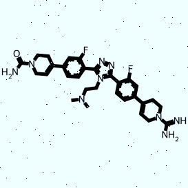 CN(C)CCn1c(-c2ccc(C3=CCN(C(=N)N)CC3)cc2F)nnc1-c1ccc(C2=CCN(C(N)=O)CC2)cc1F